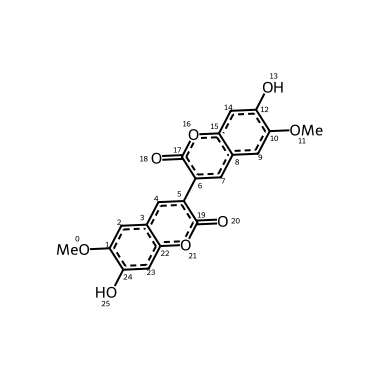 COc1cc2cc(-c3cc4cc(OC)c(O)cc4oc3=O)c(=O)oc2cc1O